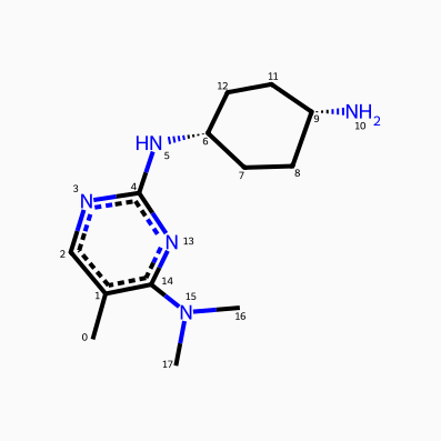 Cc1cnc(N[C@H]2CC[C@@H](N)CC2)nc1N(C)C